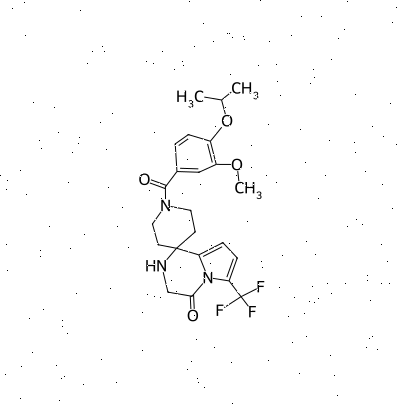 COc1cc(C(=O)N2CCC3(CC2)NCC(=O)n2c(C(F)(F)F)ccc23)ccc1OC(C)C